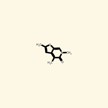 Cc1cc2c(C)c(=O)n(C)cc2s1